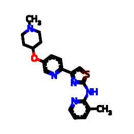 Cc1cccnc1Nc1nc(-c2ccc(OC3CCN(C)CC3)cn2)cs1